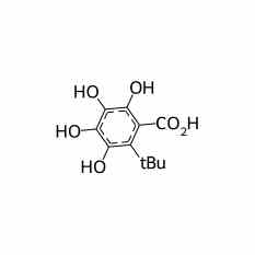 CC(C)(C)c1c(O)c(O)c(O)c(O)c1C(=O)O